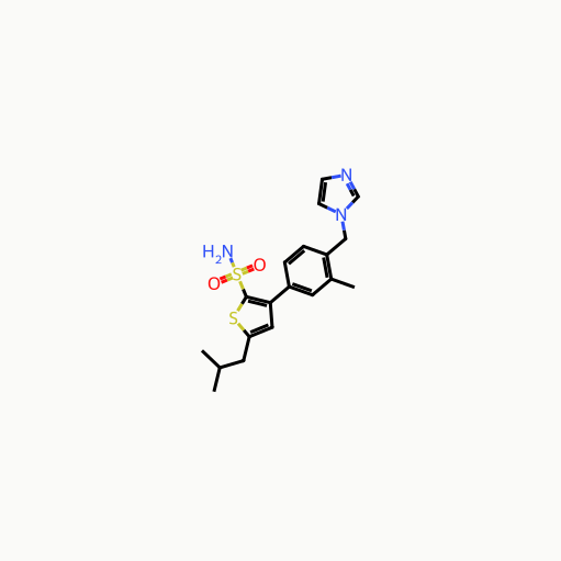 Cc1cc(-c2cc(CC(C)C)sc2S(N)(=O)=O)ccc1Cn1ccnc1